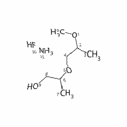 COC(C)COC(C)CO.F.N